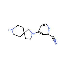 N#Cc1cc(N2CCC3(CCNCC3)C2)ccn1